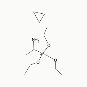 C1CC1.CCO[Si](OCC)(OCC)C(C)N